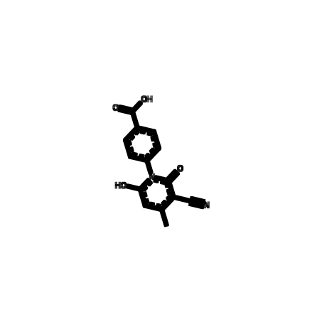 Cc1cc(O)n(-c2ccc(C(=O)O)cc2)c(=O)c1C#N